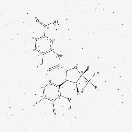 COc1c([C@H]2[C@H](C(=O)Nc3cc(C(N)=O)ncc3C)O[C@](C)(C(F)(F)F)[C@H]2C)ccc(F)c1F